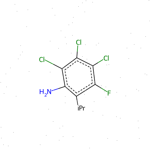 CC(C)c1c(N)c(Cl)c(Cl)c(Cl)c1F